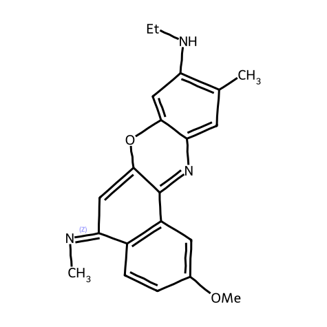 CCNc1cc2oc3c/c(=N/C)c4ccc(OC)cc4c-3nc2cc1C